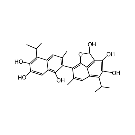 Cc1cc2c(C(C)C)c(O)c(O)cc2c(O)c1-c1c(C)cc2c(C(C)C)c(O)c(O)c3c2c1OC3O